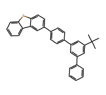 CC(C)(C)c1cc(-c2ccccc2)cc(-c2ccc(-c3ccc4sc5ccccc5c4c3)cc2)c1